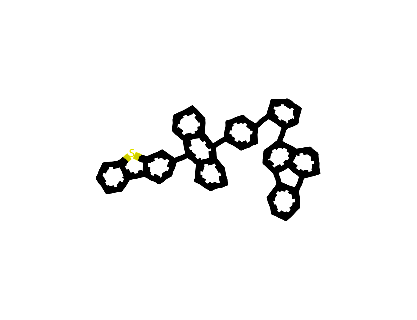 c1ccc(-c2ccc3c4c(cccc24)-c2ccccc2-3)c(-c2ccc(-c3c4ccccc4c(-c4ccc5c(c4)sc4ccccc45)c4ccccc34)cc2)c1